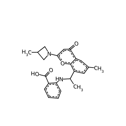 Cc1cc(C(C)Nc2ccccc2C(=O)O)c2oc(N3CC(C)C3)cc(=O)c2c1